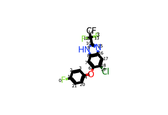 Fc1ccc(Oc2cc3[nH]c(C(F)(F)C(F)(F)F)nc3cc2Cl)cc1